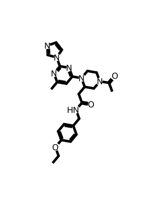 CCOc1ccc(CNC(=O)CC2CN(C(C)=O)CCN2c2cc(C)nc(-n3ccnc3)n2)cc1